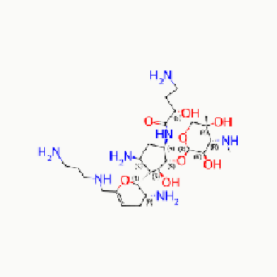 CN[C@@H]1[C@@H](O)[C@@H](O[C@H]2[C@H](NC(=O)[C@@H](O)CCN)C[C@H](N)C([C@H]3OC(CNCCCN)=CC[C@H]3N)[C@@H]2O)OC[C@]1(C)O